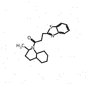 CC1CCC2CCCCC2N1C(=O)CCc1nc2ccccc2s1